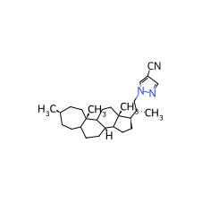 C[C@@H]1CCC2CC[C@@H]3C(CC[C@@]4(C)C3CC[C@@H]4[C@@H](C)Cn3cc(C#N)cn3)[C@@]2(C)CC1